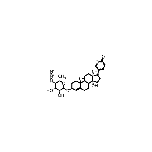 C[C@@H]1O[C@@H](O[C@@H]2C=C3CCC4C(CC[C@]5(C)[C@@H](c6ccc(=O)oc6)CC[C@]45O)[C@@]3(C)CC2)[C@H](O)[C@H](O)[C@H]1N=[N+]=[N-]